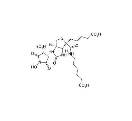 O=C(O)CCCCCNC(=O)[C@@]1(CCCCC(=O)O)SC[C@@H]2NC(=O)N[C@@H]21.O=C1CC(S(=O)(=O)O)C(=O)N1O